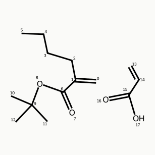 C=C(CCCC)C(=O)OC(C)(C)C.C=CC(=O)O